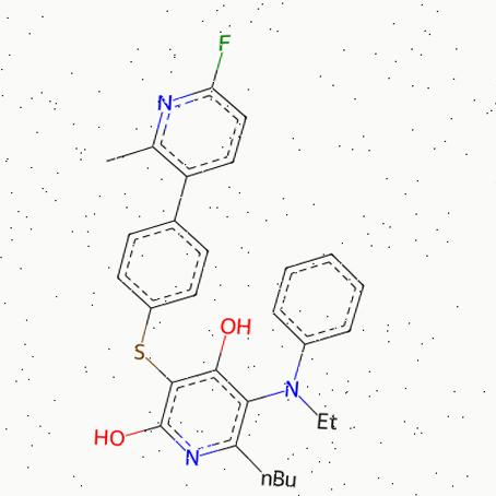 CCCCc1nc(O)c(Sc2ccc(-c3ccc(F)nc3C)cc2)c(O)c1N(CC)c1ccccc1